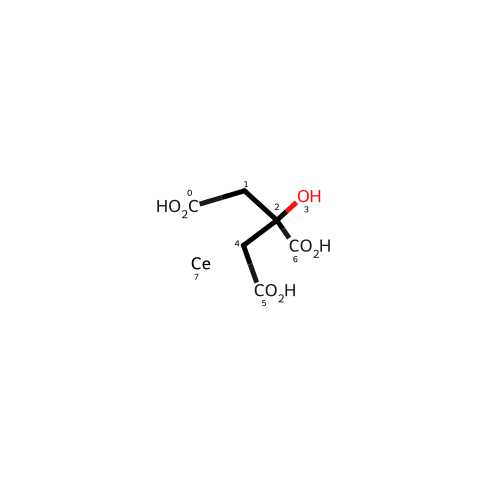 O=C(O)CC(O)(CC(=O)O)C(=O)O.[Ce]